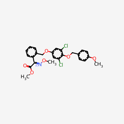 CO/N=C(/C(=O)OC)c1ccccc1COc1cc(Cl)c(OCc2ccc(OC)cc2)c(Cl)c1